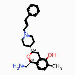 Cc1ccc2c(c1O)C[C@@H](C1CCN(CC=Cc3ccccc3)CC1)O[C@H]2CN